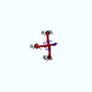 CCC1O[C@@H](OCCOCCOCCNC(=O)CCOCC(COCCC(=O)NCCOCCOCCO[C@H]2OC(CC)[C@@H](C)[C@H](C)C2C)(COCCC(=O)NCCOCCOCCO[C@H]2OC(CC)[C@@H](C)[C@H](C)C2C)CC(=O)CCCCCN=[N+]=[N-])C(C)[C@@H](C)[C@@H]1C